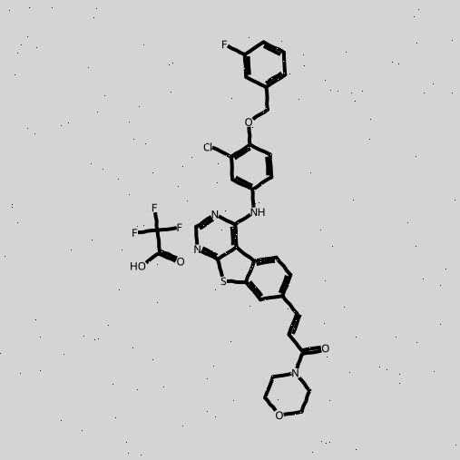 O=C(C=Cc1ccc2c(c1)sc1ncnc(Nc3ccc(OCc4cccc(F)c4)c(Cl)c3)c12)N1CCOCC1.O=C(O)C(F)(F)F